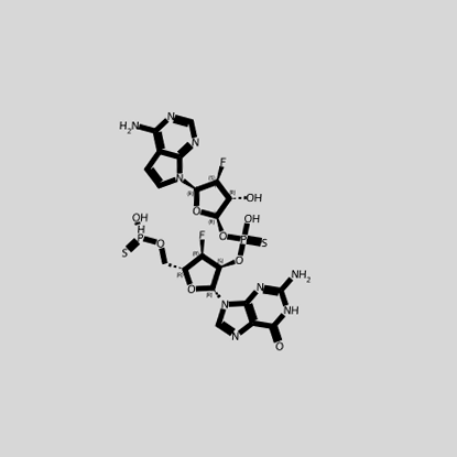 Nc1nc2c(ncn2[C@@H]2O[C@H](CO[PH](O)=S)[C@@H](F)[C@H]2OP(O)(=S)O[C@H]2O[C@@H](n3ccc4c(N)ncnc43)[C@@H](F)[C@@H]2O)c(=O)[nH]1